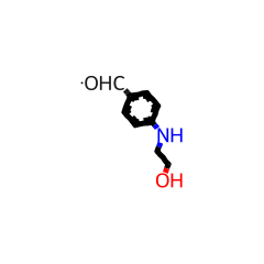 O=[C]c1ccc(NCCO)cc1